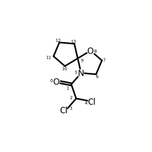 O=C(C(Cl)Cl)N1CCOC12CCCC2